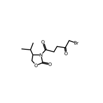 CC(C)C1COC(=O)N1C(=O)CCC(=O)CBr